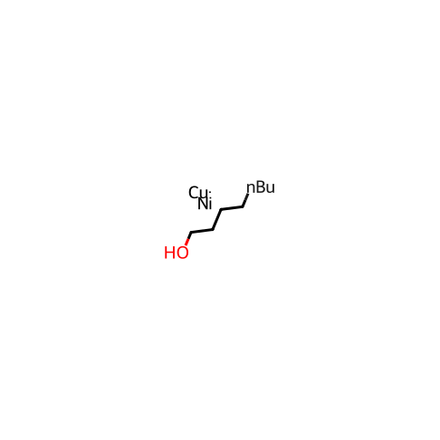 CCCCCCCCO.[Cu].[Ni]